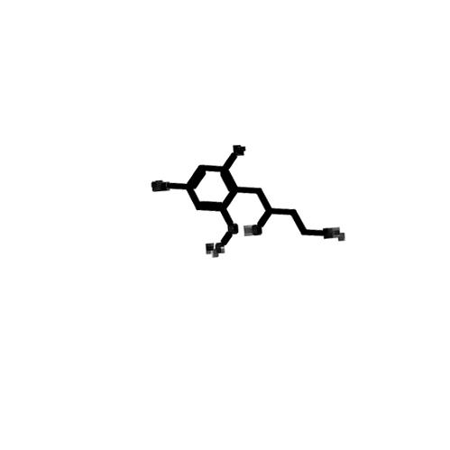 CC(C)(C)c1cc(Br)c(CC(O)CCN)c(OC(F)(F)F)c1